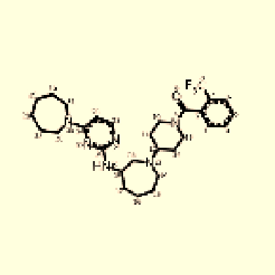 O=C(c1ccccc1C(F)(F)F)N1CCC(N2CCCCC(Nc3nccc(N4CCCCCC4)n3)C2)CC1